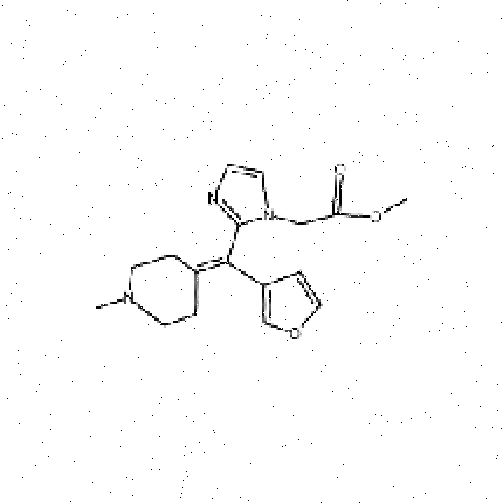 COC(=O)Cn1ccnc1C(=C1CCN(C)CC1)c1ccoc1